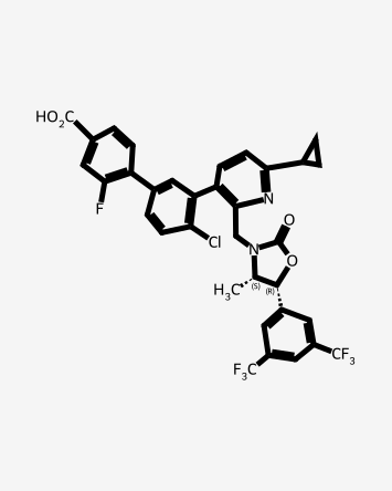 C[C@H]1[C@@H](c2cc(C(F)(F)F)cc(C(F)(F)F)c2)OC(=O)N1Cc1nc(C2CC2)ccc1-c1cc(-c2ccc(C(=O)O)cc2F)ccc1Cl